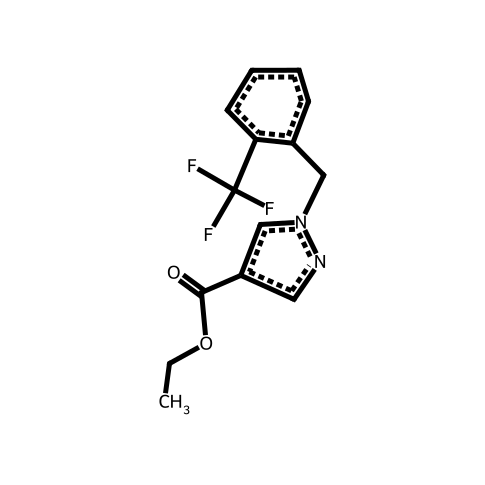 CCOC(=O)c1cnn(Cc2ccccc2C(F)(F)F)c1